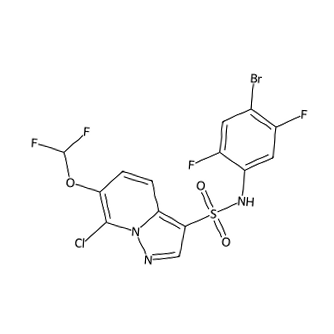 O=S(=O)(Nc1cc(F)c(Br)cc1F)c1cnn2c(Cl)c(OC(F)F)ccc12